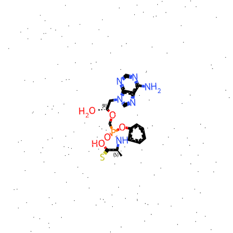 C[C@H](Cn1cnc2c(N)ncnc21)OCP(=O)(N[C@@H](C)C(O)=S)Oc1ccccc1.O